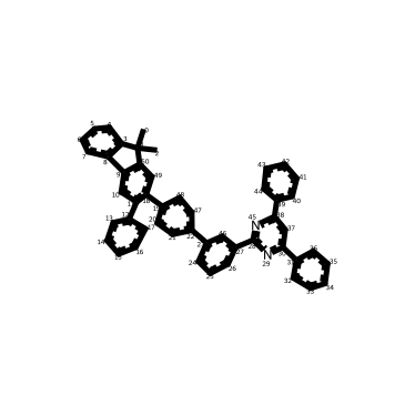 CC1(C)c2ccccc2-c2cc(-c3ccccc3)c(-c3ccc(-c4cccc(-c5nc(-c6ccccc6)cc(-c6ccccc6)n5)c4)cc3)cc21